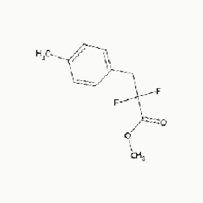 COC(=O)C(F)(F)Cc1ccc(C)cc1